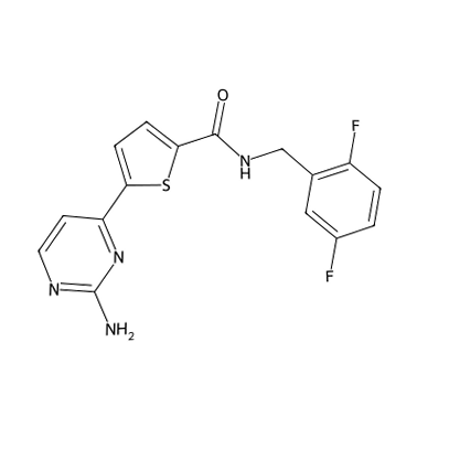 Nc1nccc(-c2ccc(C(=O)NCc3cc(F)ccc3F)s2)n1